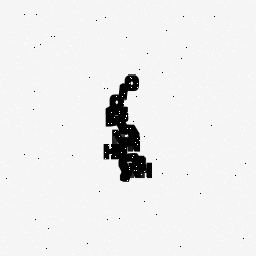 C=C1CC(Nc2nccc(-c3ccc(OCCOC)s3)n2)CC(C)(C)N1